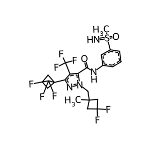 CC1(Cn2nc(C34CC(F)(C3)C4(F)F)c(C(F)(F)F)c2C(=O)Nc2cccc(S(C)(=N)=O)c2)CC(F)(F)C1